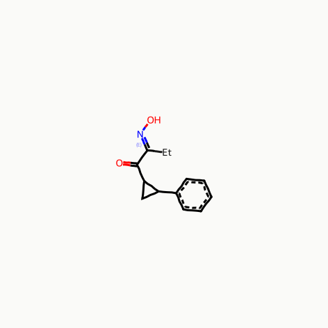 CC/C(=N\O)C(=O)C1CC1c1ccccc1